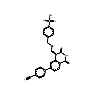 N#Cc1ccc(-c2ccc3c(c2)C(=CNCc2ccc(S(N)(=O)=O)cc2)C(=O)NC3=O)cc1